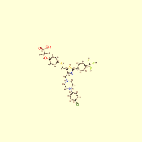 CC(C)(Oc1ccc(SCc2sc(-c3ccc(C(F)(F)F)cc3)nc2CN2CCN(c3ccc(Cl)cc3)CC2)cc1)C(=O)O